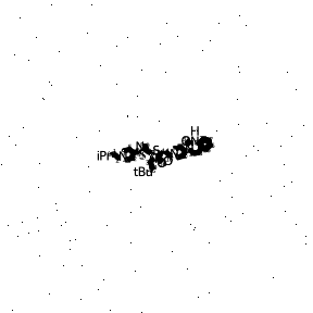 CC(C)CCN1CCC(c2ncc(C3S[C@@H](CC(=O)N4CCC(N5CCc6ccccc6NC5=O)CC4)C(=O)N3CCC(C)(C)C)s2)CC1